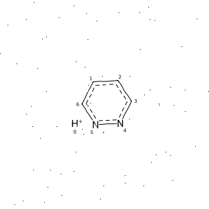 [H+].c1ccnnc1